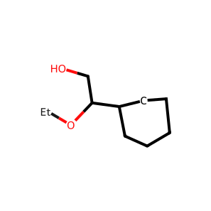 CCOC(CO)C1CCCCC1